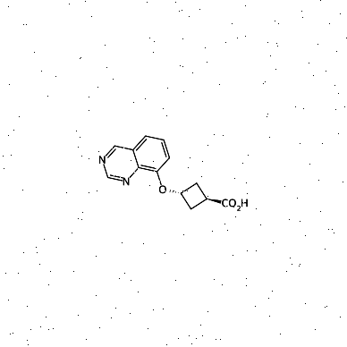 O=C(O)[C@H]1C[C@H](Oc2cccc3cncnc23)C1